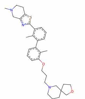 Cc1c(OCCCN2CCCC3(CCOC3)C2)cccc1-c1cccc(-c2nc3c(s2)CCN(C)C3)c1C